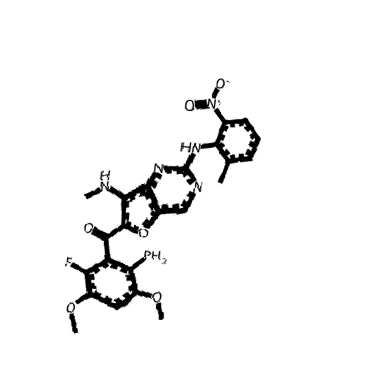 CNc1c(C(=O)c2c(F)c(OC)cc(OC)c2P)oc2cnc(Nc3c(C)cccc3[N+](=O)[O-])nc12